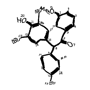 COc1cccc(C(=O)C(c2ccc(C(C)(C)C)cc2)c2cc(C(C)(C)C)c(O)c(C(C)(C)C)c2)c1